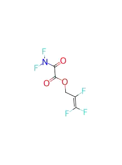 O=C(OCC(F)=C(F)F)C(=O)N(F)F